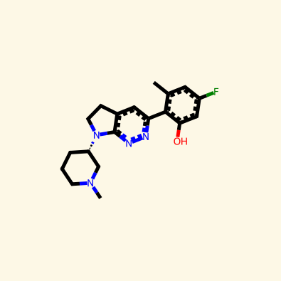 Cc1cc(F)cc(O)c1-c1cc2c(nn1)N([C@H]1CCCN(C)C1)CC2